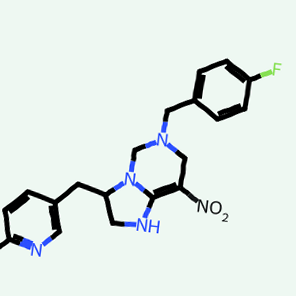 O=[N+]([O-])C1=C2NCC(Cc3ccc(Cl)nc3)N2CN(Cc2ccc(F)cc2)C1